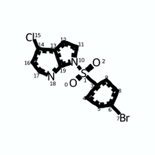 O=S(=O)(c1ccc(Br)cc1)n1ccc2c(Cl)ccnc21